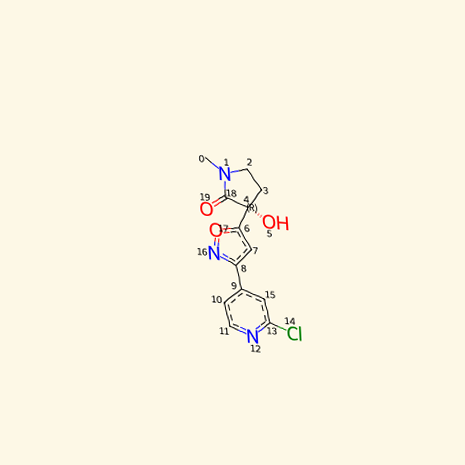 CN1CC[C@@](O)(c2cc(-c3ccnc(Cl)c3)no2)C1=O